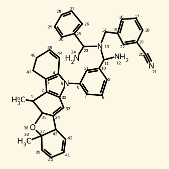 CC1c2c3c(n(-c4cccc(C(N)N(Cc5cccc(C#N)c5)C(N)c5ccccc5)c4)c2C=C2C1OC1(C)C=CC=CC21)C=CCC3